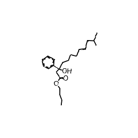 CCCCOC(=O)CC(O)(CCCCCCCC(C)C)c1ccccc1